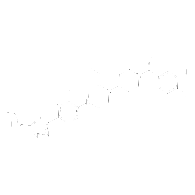 CCNc1nnc(-c2ccc(N3CCN(C4CCN(C(=O)c5ccc(Cl)c(F)c5)CC4)[C@@H](CC)C3)c(C)n2)o1